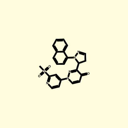 CS(=O)(=O)c1cc(-n2ccc(=O)c(C3CC=NN3c3cccc4ccccc34)n2)ccn1